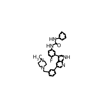 CN1CCN(Cc2cccc(-c3cnc4[nH]cc(-c5cc(NC(=O)Nc6ccccc6)ccc5F)c4c3)c2)CC1